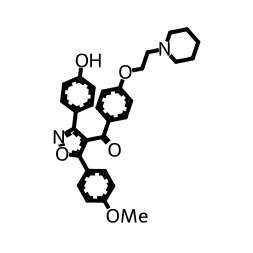 COc1ccc(-c2onc(-c3ccc(O)cc3)c2C(=O)c2ccc(OCCN3CCCCC3)cc2)cc1